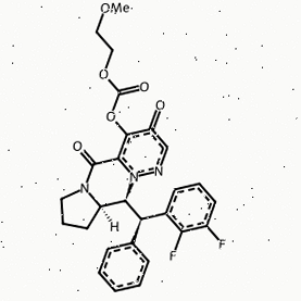 COCCOC(=O)Oc1c2n(ncc1=O)[C@@H]([C@H](c1ccccc1)c1cccc(F)c1F)[C@H]1CCCN1C2=O